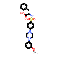 COc1cccc(N2CCN(c3ccc(S(=O)(=O)N[C@@H](Cc4ccccc4)C(=O)O)cc3)CC2)c1